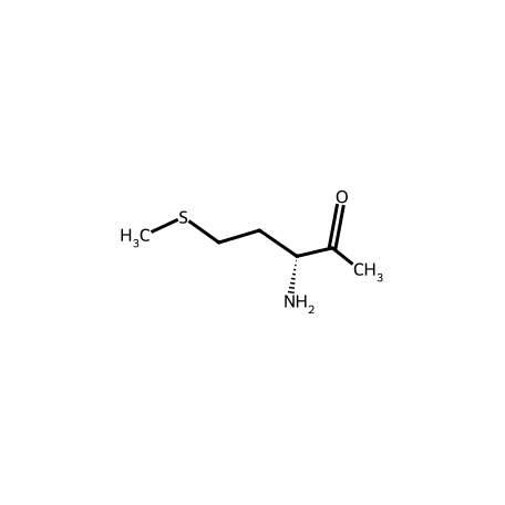 CSCC[C@@H](N)C(C)=O